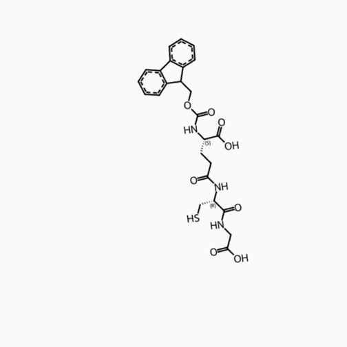 O=C(O)CNC(=O)[C@H](CS)NC(=O)CC[C@H](NC(=O)OCC1c2ccccc2-c2ccccc21)C(=O)O